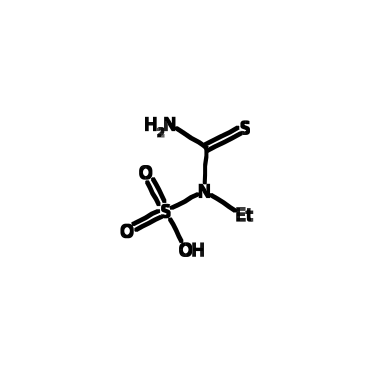 CCN(C(N)=S)S(=O)(=O)O